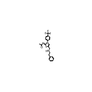 CC(=O)N=c1sc(CNCCc2ccccc2)cn1-c1ccc(C(F)(F)F)cc1